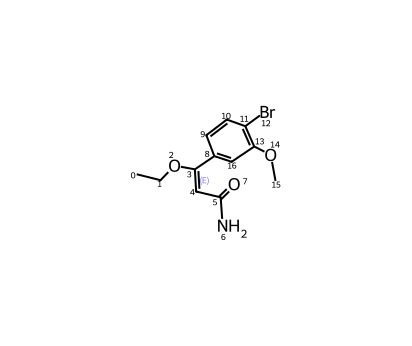 CCO/C(=C/C(N)=O)c1ccc(Br)c(OC)c1